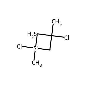 CC1(Cl)C[Si](C)(Cl)[SiH2]1